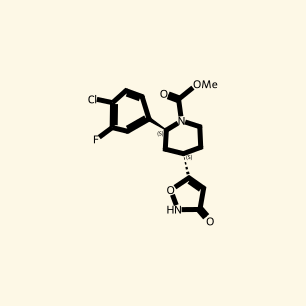 COC(=O)N1CC[C@H](c2cc(=O)[nH]o2)C[C@H]1c1ccc(Cl)c(F)c1